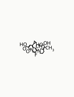 Cc1c(N2CCCC(C(C)C(O)O)C2)c(F)cn2c(=O)c(C(=O)O)cc(C3CC3)c12